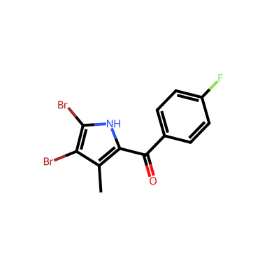 Cc1c(C(=O)c2ccc(F)cc2)[nH]c(Br)c1Br